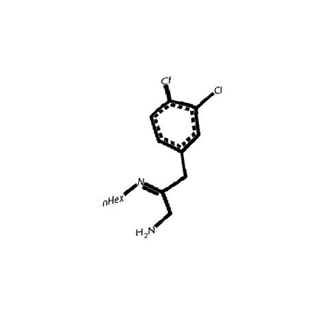 CCCCCCN=C(CN)Cc1ccc(Cl)c(Cl)c1